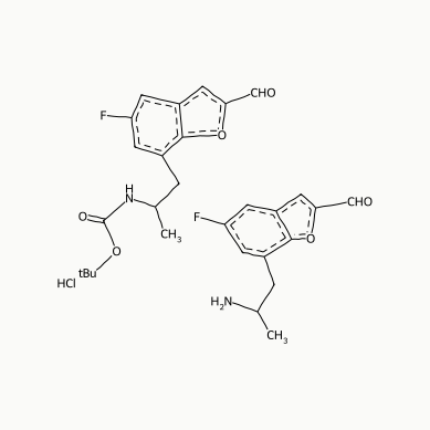 CC(Cc1cc(F)cc2cc(C=O)oc12)NC(=O)OC(C)(C)C.CC(N)Cc1cc(F)cc2cc(C=O)oc12.Cl